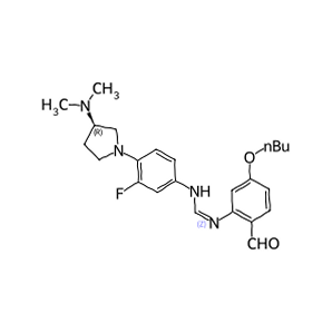 CCCCOc1ccc(C=O)c(/N=C\Nc2ccc(N3CC[C@@H](N(C)C)C3)c(F)c2)c1